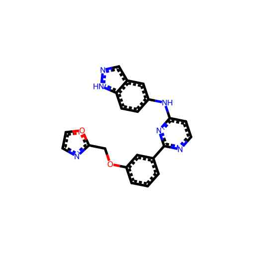 c1cc(OCc2ncco2)cc(-c2nccc(Nc3ccc4[nH]ncc4c3)n2)c1